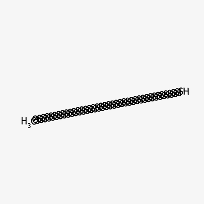 COSSSSSSSSSSSSSSSSSSSSSSSSSSSSSSSSSSSSSSSSSSSSSSSSSSSSSSSSSSSSSSSSSSSSSSSSSSSS